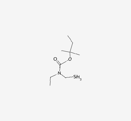 CCN(C[SiH3])C(=O)OC(C)(C)CC